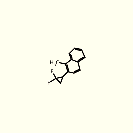 Cc1c(C2CC2(F)F)ccc2ccccc12